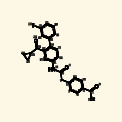 CCC(=O)c1ccc(CC(=O)Nc2ccc(-c3cccc(F)c3)c(C(=O)C3CC3)n2)cc1